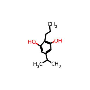 CCCc1c(O)cc(C(C)C)cc1O